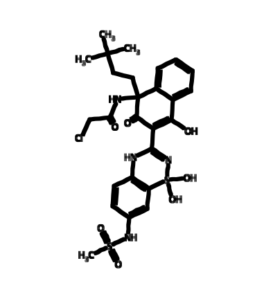 CC(C)(C)CCC1(NC(=O)CCl)C(=O)C(C2=NS(O)(O)c3cc(NS(C)(=O)=O)ccc3N2)=C(O)c2ccccc21